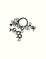 COc1ccc2c(O[C@@H]3C[C@H]4C(=O)N[C@]5(C(=O)NS(=O)(=O)C6CC6)C[C@H]5/C=C\CCCCC[C@H](NC(=O)N5CC(F)(F)C5)C(=O)N4C3)cc(-c3nc(C(C)C)cs3)nc2c1C